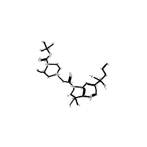 CCCC(F)(F)c1cnc2c(c1)N(C(=O)CN1CCN(C(=O)OC(C)(C)C)C(C)C1)CC2(C)C